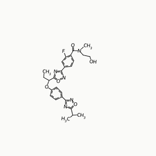 CCC(Oc1ccc(-c2noc(C(C)C)n2)cc1)c1nc(-c2ccc(C(=O)N(C)CCO)c(F)c2)no1